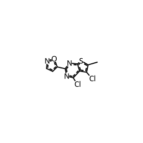 Cc1sc2nc(-c3ccno3)nc(Cl)c2c1Cl